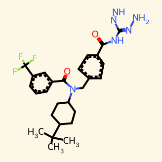 CC(C)(C)C1CCC(N(Cc2ccc(C(=O)N/C(N=N)=N/N)cc2)C(=O)c2cccc(C(F)(F)F)c2)CC1